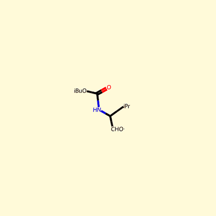 CC(C)COC(=O)NC([C]=O)C(C)C